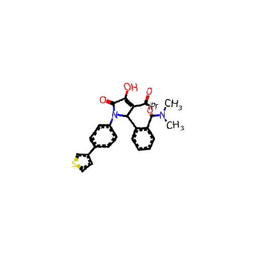 CC(C)C(=O)C1=C(O)C(=O)N(c2ccc(-c3ccsc3)cc2)C1c1ccccc1C(=O)N(C)C